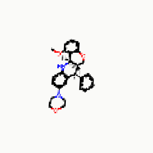 COc1cccc2c1[C@H]1Nc3ccc(N4CCOCC4)cc3[C@H](c3ccccc3)[C@H]1CO2